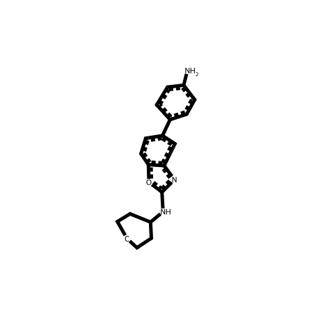 Nc1ccc(-c2ccc3oc(NC4CCCCC4)nc3c2)cc1